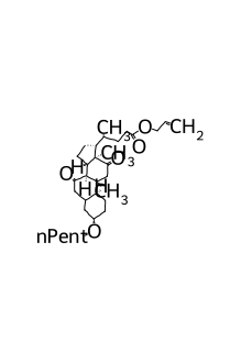 C=CCOC(=O)CC[C@@H](C)[C@H]1CC[C@H]2[C@@H]3C(=O)CC4C[C@H](OCCCCC)CC[C@]4(C)[C@H]3CC(=O)[C@]12C